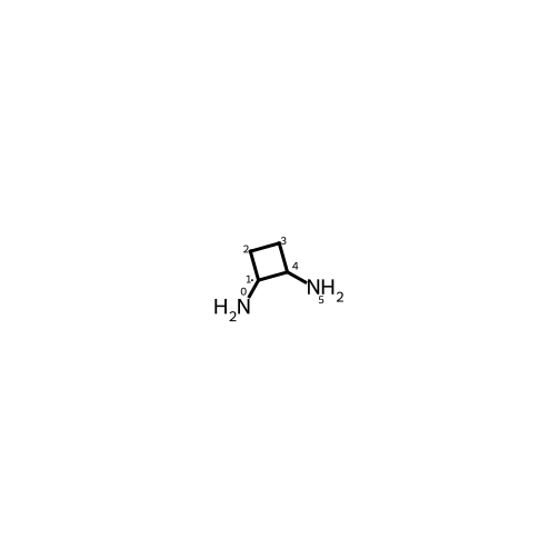 N[C]1CCC1N